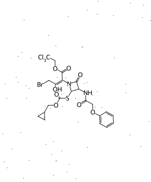 O=C(COc1ccccc1)NC1C(=O)N(/C(C(=O)OCC(Cl)(Cl)Cl)=C(\O)CBr)C1SC(=O)OCC1CC1